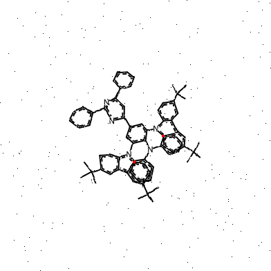 CC(C)(C)c1ccc2c(c1)c1cc(C(C)(C)C)ccc1n2-c1cc(-c2cc(-c3ccccc3)nc(-c3ccccc3)n2)cc(-n2c3ccc(C(C)(C)C)cc3c3cc(C(C)(C)C)ccc32)c1N(c1ccccc1)c1ccccc1